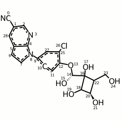 N#Cc1cnc2c(ccn2-c2ccc(O[C@@H](O)C3(O)C(O)[C@H](O)C3CO)c(Cl)c2)c1